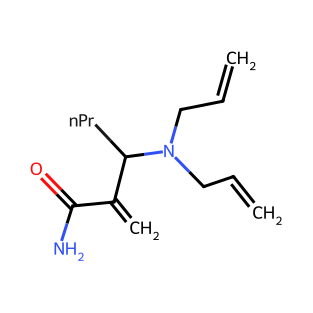 C=CCN(CC=C)C(CCC)C(=C)C(N)=O